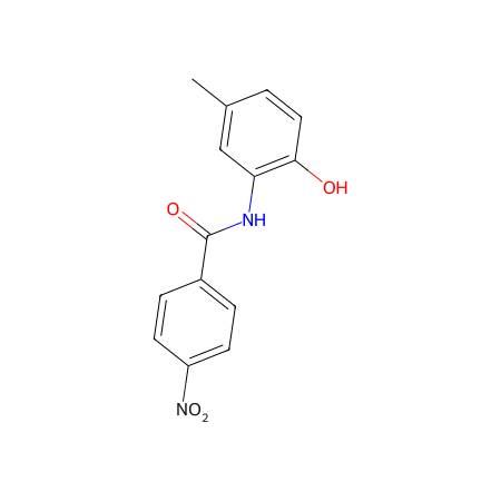 Cc1ccc(O)c(NC(=O)c2ccc([N+](=O)[O-])cc2)c1